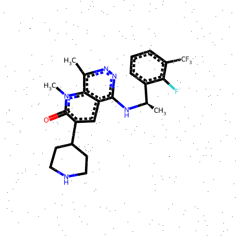 Cc1nnc(N[C@H](C)c2cccc(C(F)(F)F)c2F)c2cc(C3CCNCC3)c(=O)n(C)c12